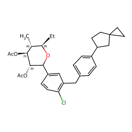 CC[C@H]1OC(c2ccc(Cl)c(Cc3ccc(C4CCC5(CC5)C4)cc3)c2)[C@H](OC(C)=O)[C@@H](OC(C)=O)[C@@H]1C